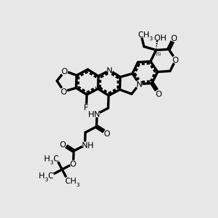 CC[C@@]1(O)C(=O)OCc2c1cc1n(c2=O)Cc2c-1nc1cc3c(c(F)c1c2CNC(=O)CNC(=O)OC(C)(C)C)OCO3